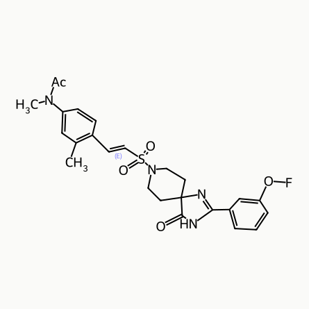 CC(=O)N(C)c1ccc(/C=C/S(=O)(=O)N2CCC3(CC2)N=C(c2cccc(OF)c2)NC3=O)c(C)c1